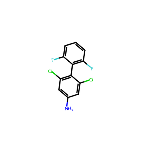 Nc1cc(Cl)c(-c2c(F)cccc2F)c(Cl)c1